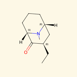 CC[C@@H]1C[C@H]2CCC[C@@H](C1=O)N2C